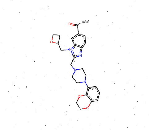 COC(=O)c1ccc2nc(CN3CCN(c4cccc5c4OCCO5)CC3)n(CC3CCO3)c2c1